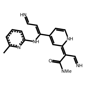 CNC(=O)/C(C=N)=C1C=C(/C(=C/C=N)Nc2cccc(C)n2)C=CN\1